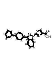 O=C(O)c1csc(-n2nc(-c3ccc(-c4ccccc4)cc3)c3ccccc32)n1